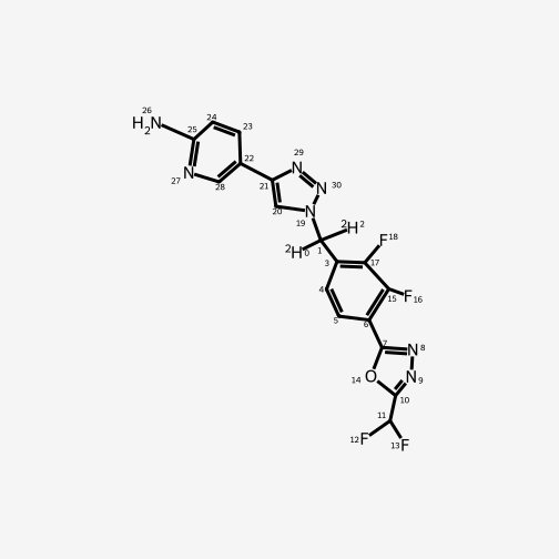 [2H]C([2H])(c1ccc(-c2nnc(C(F)F)o2)c(F)c1F)n1cc(-c2ccc(N)nc2)nn1